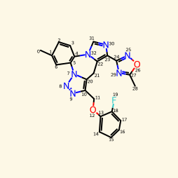 Cc1ccc2c(c1)-n1nnc(COc3ccccc3F)c1Cc1c(-c3noc(C)n3)ncn1-2